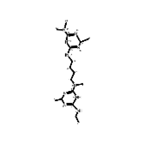 CCNC1=NC(C)N=C(N(C)CCCCNC2=NC(C)N=C(N(C)C)N2)N1